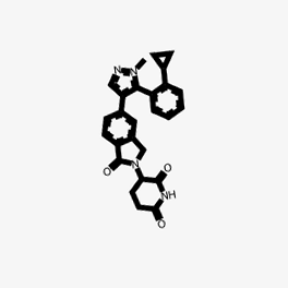 Cn1ncc(-c2ccc3c(c2)CN(C2CCC(=O)NC2=O)C3=O)c1-c1ccccc1C1CC1